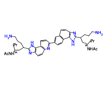 CC(=O)N[C@H](CC(CCCN)c1nc2ccc3cc(-c4ccc5c(ccc6nc(C(CCCN)C[C@@H](NC(C)=O)C(C)C)[nH]c65)n4)ccc3c2[nH]1)C(C)C